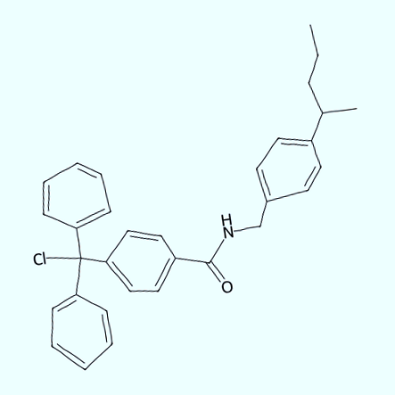 CCCC(C)c1ccc(CNC(=O)c2ccc(C(Cl)(c3ccccc3)c3ccccc3)cc2)cc1